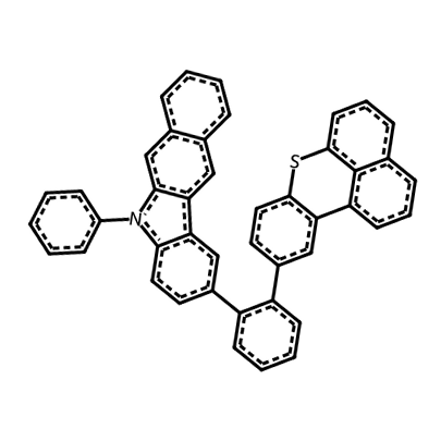 c1ccc(-n2c3ccc(-c4ccccc4-c4ccc5c(c4)-c4cccc6cccc(c46)S5)cc3c3cc4ccccc4cc32)cc1